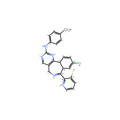 O=C(O)c1ccc(Nc2ncc3c(n2)C2C=CC(Cl)=CC2C(c2ncccc2F)=NC3)cc1